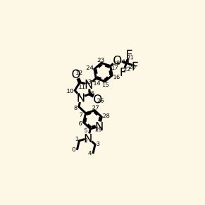 CCN(CC)c1cc(CN2CC(=O)N(c3ccc(OC(F)(F)F)cc3)C2=O)ccn1